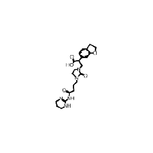 O=C(CCCN1CCN(CC(C(=O)O)c2ccc3c(c2)OCC3)C1=O)NC1=NCCCN1